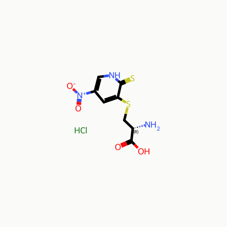 Cl.N[C@@H](CSc1cc([N+](=O)[O-])c[nH]c1=S)C(=O)O